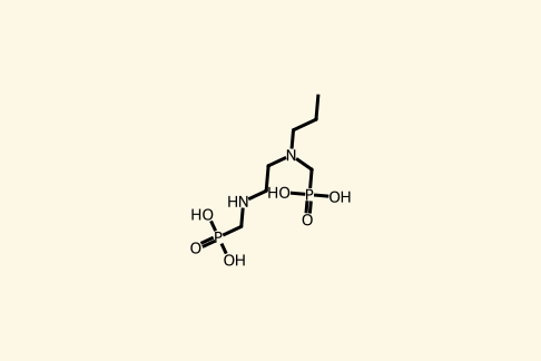 CCCN(CCNCP(=O)(O)O)CP(=O)(O)O